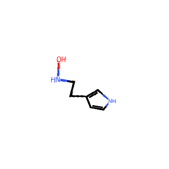 ONCCc1cc[nH]c1